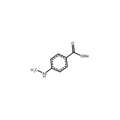 COC(=O)c1ccc([AsH]C)cc1